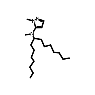 CCCCCCCC(CCCCCCC)N(C)c1ccnn1C